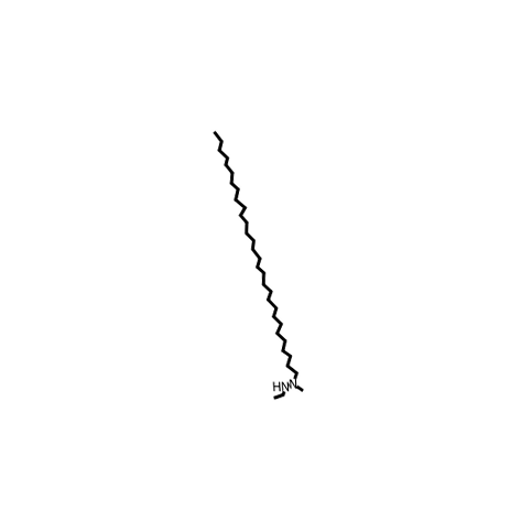 CCCCCCCCCCCCCCCCCCCCCCCCCCCCCCN(C)NCC